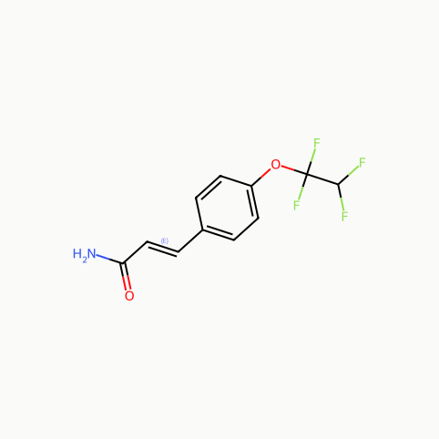 NC(=O)/C=C/c1ccc(OC(F)(F)C(F)F)cc1